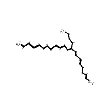 [CH2]CCCCC=CCCC(CCCC)CCCCCCCCCCC[CH2]